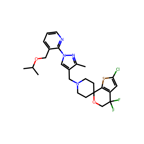 Cc1nn(-c2ncccc2COC(C)C)cc1CN1CCC2(CC1)OCC(F)(F)c1cc(Cl)sc12